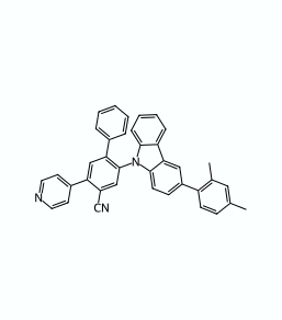 Cc1ccc(-c2ccc3c(c2)c2ccccc2n3-c2cc(C#N)c(-c3ccncc3)cc2-c2ccccc2)c(C)c1